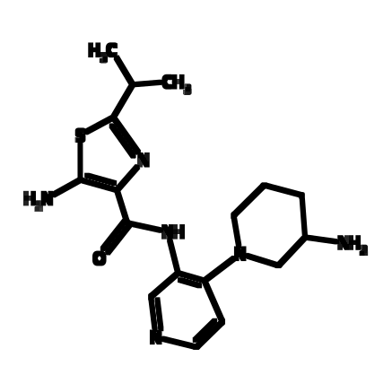 CC(C)c1nc(C(=O)Nc2cnccc2N2CCCC(N)C2)c(N)s1